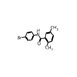 Cc1ccc(C)c(C(=O)Nc2ccc(Br)cc2)c1